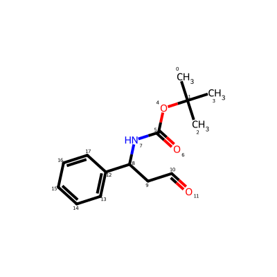 CC(C)(C)OC(=O)NC(CC=O)c1ccccc1